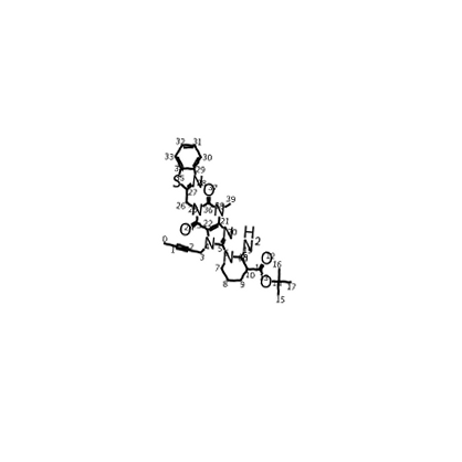 CC#CCn1c(N2CCCC(C(=O)OC(C)(C)C)[C@@H]2N)nc2c1c(=O)n(Cc1nc3ccccc3s1)c(=O)n2C